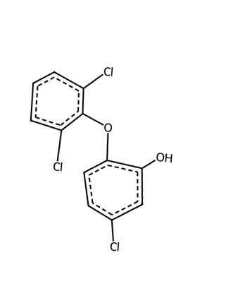 Oc1cc(Cl)ccc1Oc1c(Cl)cccc1Cl